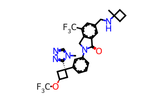 Cn1cnnc1[C@]1(c2cccc(N3Cc4c(cc(CNC5(C)CCC5)cc4C(F)(F)F)C3=O)c2)C[C@@H](OC(F)(F)F)C1